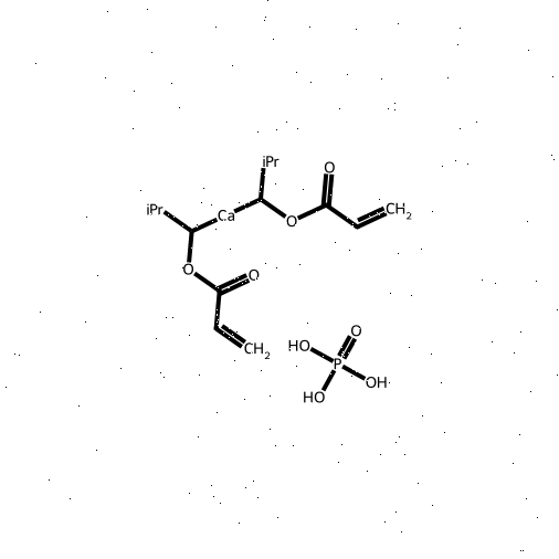 C=CC(=O)O[CH]([Ca][CH](OC(=O)C=C)C(C)C)C(C)C.O=P(O)(O)O